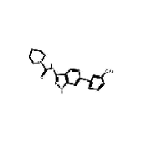 COc1cccc(-c2ccc3c(NC(=O)N4CCCCC4)n[nH]c3c2)c1